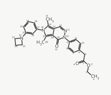 CCOC(=O)Cc1ccc(-n2ncc3c(C)n(-c4cccc(N5CCC5)c4)c(C)c3c2=O)cc1